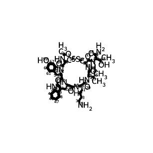 CC(=O)N[C@H]1CSSC[C@@H](C(=O)N[C@@H](C(N)=O)C(C)O)NC(=O)[C@H](C(C)C)NC(=O)[C@H](CCCCN)NC(=O)[C@@H](Cc2c[nH]c3ccccc23)NC(=O)[C@@H](Cc2ccc(O)cc2)NC1=O